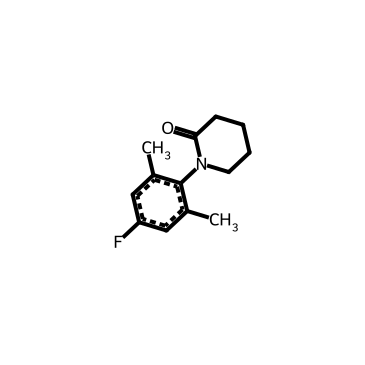 Cc1cc(F)cc(C)c1N1CCCCC1=O